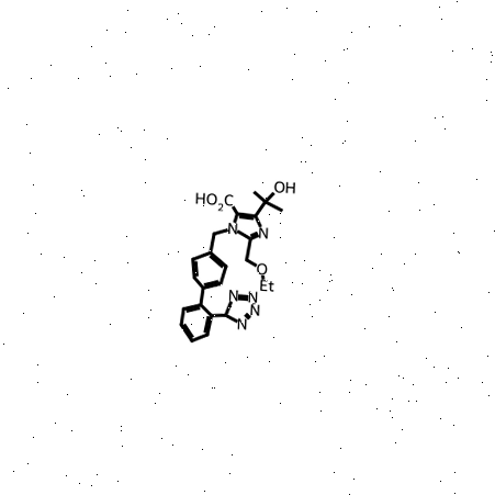 CCOCc1nc(C(C)(C)O)c(C(=O)O)n1Cc1ccc(-c2ccccc2C2N=NN=N2)cc1